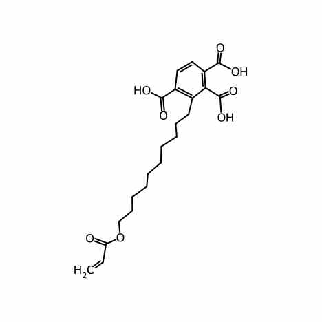 C=CC(=O)OCCCCCCCCCCc1c(C(=O)O)ccc(C(=O)O)c1C(=O)O